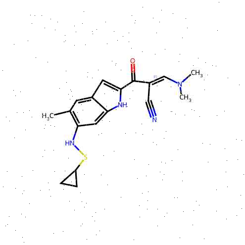 Cc1cc2cc(C(=O)/C(C#N)=C/N(C)C)[nH]c2cc1NSC1CC1